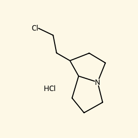 Cl.ClCCC1CCN2CCCC12